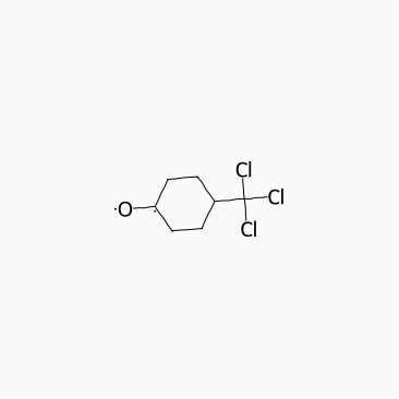 [O][C]1CCC(C(Cl)(Cl)Cl)CC1